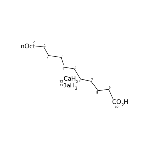 CCCCCCCCCCCCCCCCCC(=O)O.[BaH2].[CaH2]